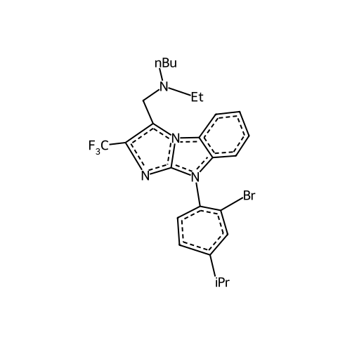 CCCCN(CC)Cc1c(C(F)(F)F)nc2n(-c3ccc(C(C)C)cc3Br)c3ccccc3n12